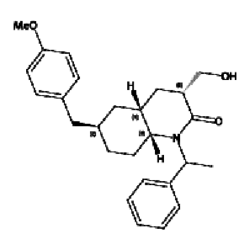 COc1ccc(C[C@@H]2CC[C@@H]3[C@H](C2)C[C@H](CO)C(=O)N3C(C)c2ccccc2)cc1